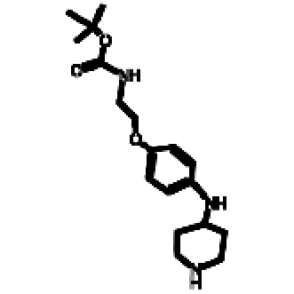 CC(C)(C)OC(=O)NCCOc1ccc(NC2CCNCC2)cc1